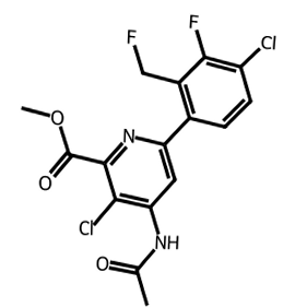 COC(=O)c1nc(-c2ccc(Cl)c(F)c2CF)cc(NC(C)=O)c1Cl